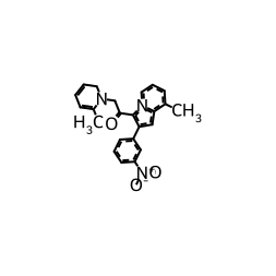 CC1=CC=CCN1CC(=O)c1c(-c2cccc([N+](=O)[O-])c2)cc2c(C)cccn12